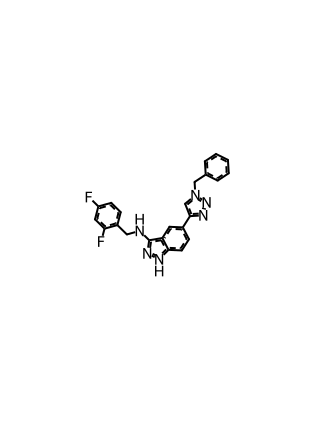 Fc1ccc(CNc2n[nH]c3ccc(-c4cn(Cc5ccccc5)nn4)cc23)c(F)c1